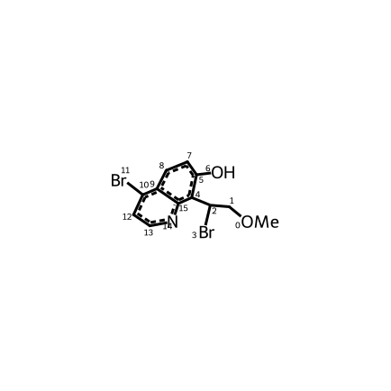 COCC(Br)c1c(O)ccc2c(Br)ccnc12